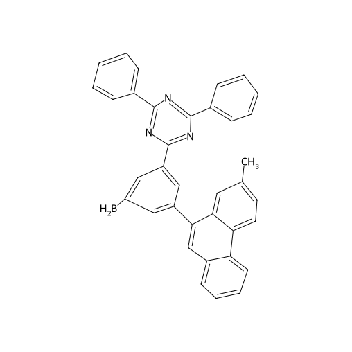 Bc1cc(-c2nc(-c3ccccc3)nc(-c3ccccc3)n2)cc(-c2cc3ccccc3c3ccc(C)cc23)c1